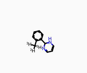 [2H]C([2H])([2H])c1ccccc1C1N=CC=CN1